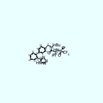 CCCCN(Cc1ccc(-c2ccccc2-c2nnn[nH]2)cc1)C(=O)[C@@H](NS(=O)(=O)C(F)(F)F)C(C)C